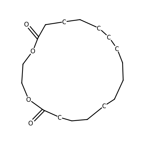 O=C1CCCCCCCCCCCCCC(=O)OCCO1